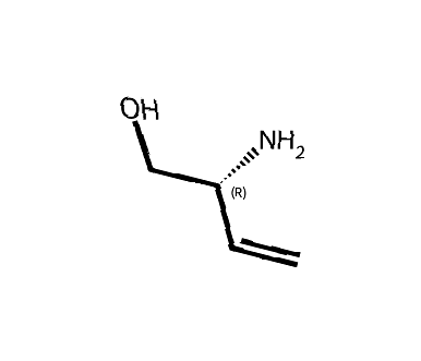 C=C[C@@H](N)CO